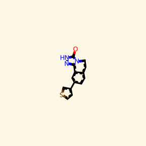 O=c1[nH]nc2c3cc(-c4ccsc4)ccc3ccn12